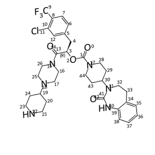 O=C(O[C@H](Cc1ccc(C(F)(F)F)c(Cl)c1)C(=O)N1CCN(C2CCNCC2)CC1)N1CCC(N2CCc3ccccc3NC2=O)CC1